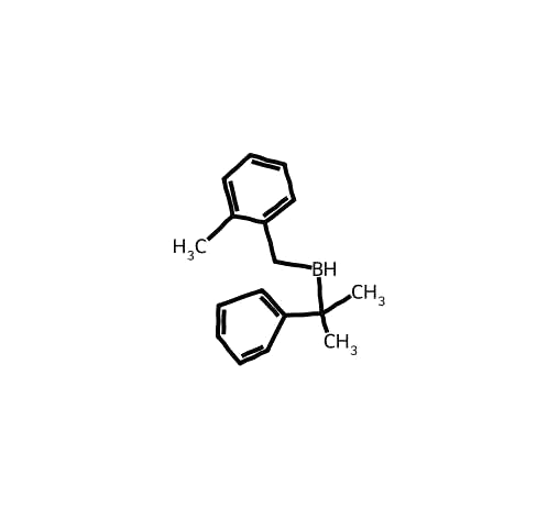 Cc1ccccc1CBC(C)(C)c1ccccc1